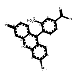 CC(C)C(=O)c1ccc(-c2c3ccc(=N)cc-3oc3cc(N)ccc23)c(C(=O)O)c1